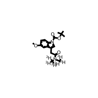 [2H]C([2H])([2H])N(C(=O)Cc1cn(C(=O)OC(C)(C)C)c2ccc(OC)cc12)C([2H])([2H])[2H]